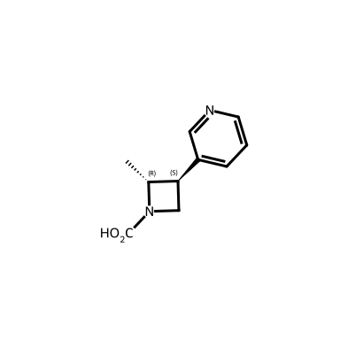 C[C@@H]1[C@@H](c2cccnc2)CN1C(=O)O